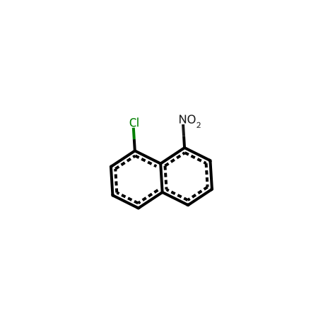 O=[N+]([O-])c1cccc2cccc(Cl)c12